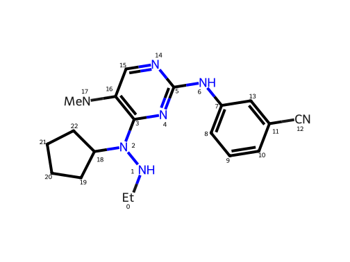 CCNN(c1nc(Nc2cccc(C#N)c2)ncc1NC)C1CCCC1